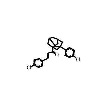 O=C(C=Cc1ccc(Cl)cc1)C12CC3CC(C1)CC(c1ccc(Cl)cc1)(C3)C2